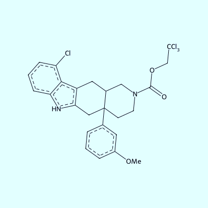 COc1cccc(C23CCN(C(=O)OCC(Cl)(Cl)Cl)CC2Cc2c([nH]c4cccc(Cl)c24)C3)c1